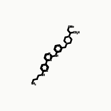 COCC(C(=O)O)N1CCN(Cc2cccc(Nc3nccc(-c4ccc(NCCCN)nc4)n3)c2)CC1